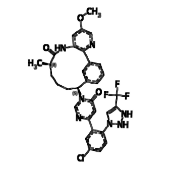 COc1cnc2c(c1)NC(=O)[C@H](C)CCC[C@H](n1cnc(-c3cc(Cl)ccc3N3C=C(C(F)(F)F)NN3)cc1=O)c1cccc-2c1